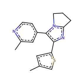 Cc1csc(-c2nc3n(c2-c2ccnc(C)c2)CCC3)c1